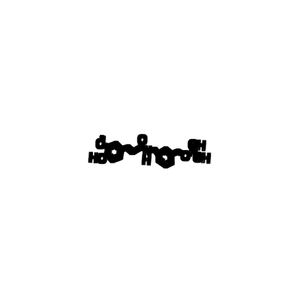 COc1cc(/C=C/C(=O)NCc2cccc(CON(O)O)c2)ccc1O